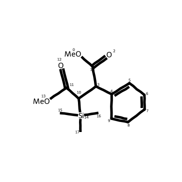 COC(=O)C(c1ccccc1)C(C(=O)OC)[Si](C)(C)C